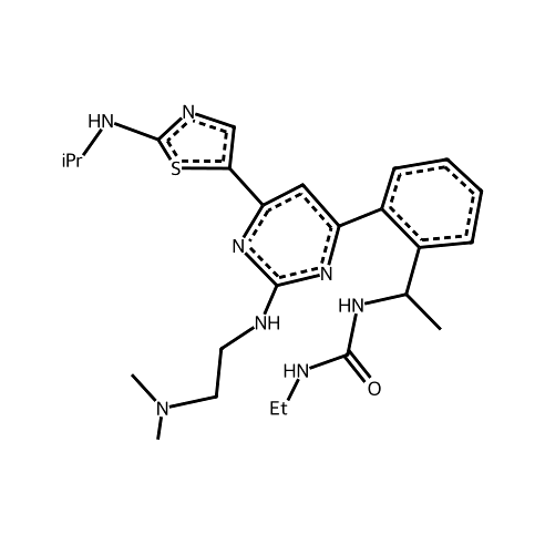 CCNC(=O)NC(C)c1ccccc1-c1cc(-c2cnc(NC(C)C)s2)nc(NCCN(C)C)n1